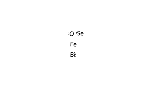 [Bi].[Fe].[O].[Se]